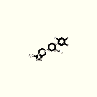 N[C@H]1C[C@H](N2CCn3c(nnc3C(F)(F)F)C2)CC[C@@H]1c1cc(F)c(F)cc1F